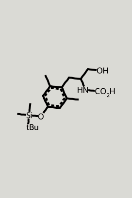 Cc1cc(O[Si](C)(C)C(C)(C)C)cc(C)c1CC(CO)NC(=O)O